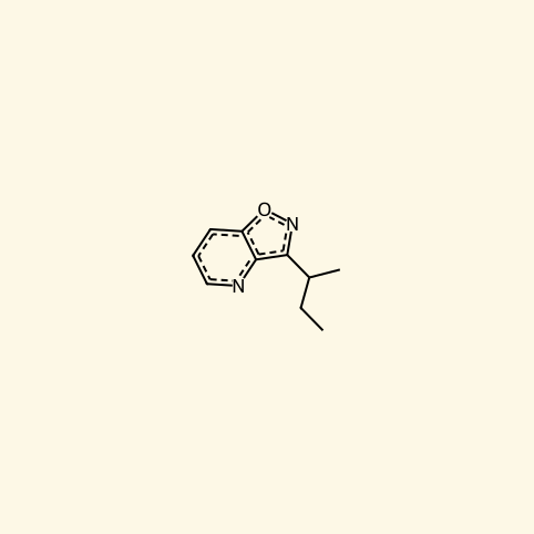 CCC(C)c1noc2cccnc12